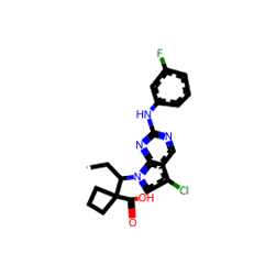 [CH2]CC(n1cc(Cl)c2cnc(Nc3cccc(F)c3)nc21)C1(C(=O)O)CCC1